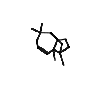 CC1(C)CC=CC2(C)C3CCC2(C)CC31